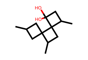 CC1CC2(C1)C(C)CC21C(C)CC1(O)O